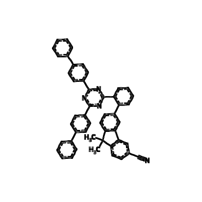 CC1(C)c2ccc(C#N)cc2-c2cc(-c3ccccc3-c3nc(-c4ccc(-c5ccccc5)cc4)nc(-c4ccc(-c5ccccc5)cc4)n3)ccc21